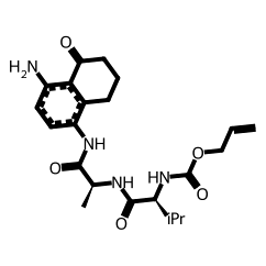 C=CCOC(=O)N[C@H](C(=O)N[C@@H](C)C(=O)Nc1ccc(N)c2c1CCCC2=O)C(C)C